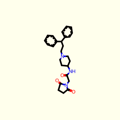 O=C(CN1C(=O)CCC1=O)NC1CCN(CCC(c2ccccc2)c2ccccc2)CC1